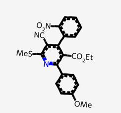 CCOC(=O)c1c(-c2ccc(OC)cc2)nc(SC)c(C#N)c1-c1ccccc1[N+](=O)[O-]